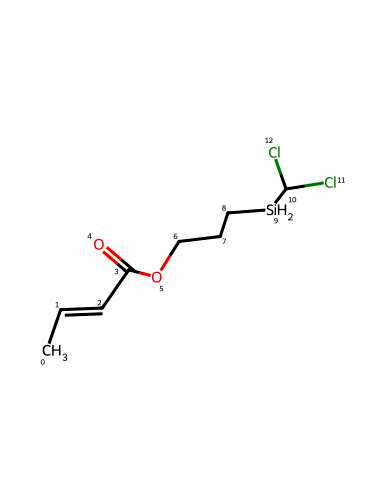 CC=CC(=O)OCCC[SiH2]C(Cl)Cl